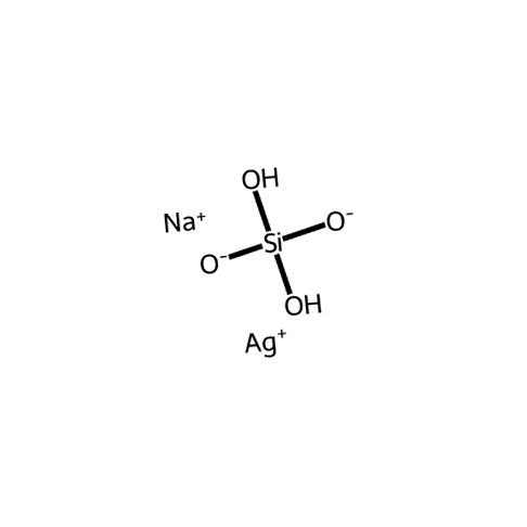 [Ag+].[Na+].[O-][Si]([O-])(O)O